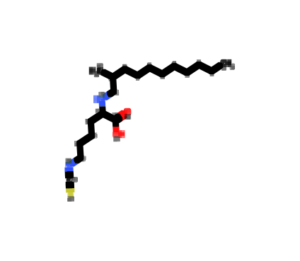 CCCCCCCCCC(C)CNC(CCCCN=C=S)C(=O)O